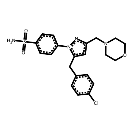 NS(=O)(=O)c1ccc(-n2nc(CN3CCOCC3)cc2Cc2ccc(Cl)cc2)cc1